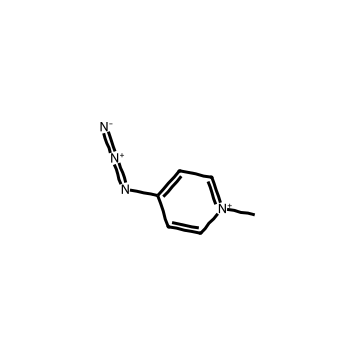 C[n+]1ccc(N=[N+]=[N-])cc1